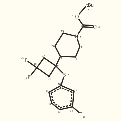 CC(C)(C)OC(=O)N1CCC(C2(Sc3cccc(F)c3)CC(F)(F)C2)CC1